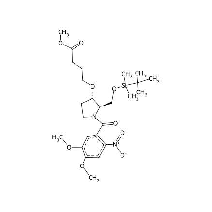 COC(=O)CCCO[C@H]1CCN(C(=O)c2cc(OC)c(OC)cc2[N+](=O)[O-])[C@@H]1CO[Si](C)(C)C(C)(C)C